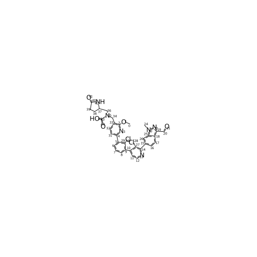 COc1nc(-c2cccc(-c3ccnc(-c4ccc5c(C=O)nn(C)c5c4)c3Cl)c2Cl)ccc1CN(CC1CCC(=O)N1)C(=O)O